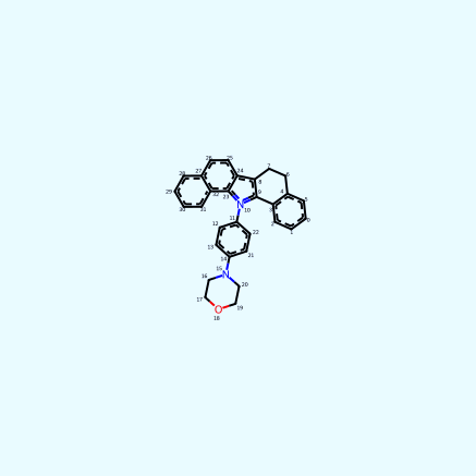 c1ccc2c(c1)CCc1c-2n(-c2ccc(N3CCOCC3)cc2)c2c1ccc1ccccc12